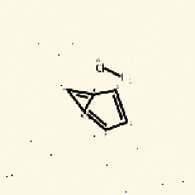 ClI.c1cc2cc-2c1